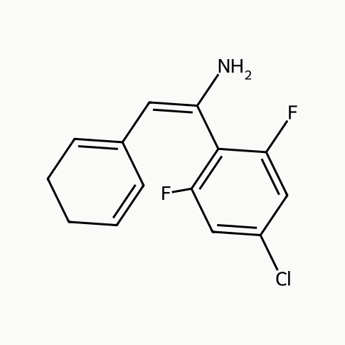 N/C(=C/C1=CCCC=C1)c1c(F)cc(Cl)cc1F